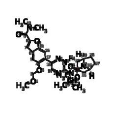 COCOc1cc2cc(C(=O)N(C)C)oc2cc1-c1cnc(N(C)[C@H]2C[C@@H]3CC[C@H]([C@H]2F)N3C(=O)OC(C)(C)C)nn1